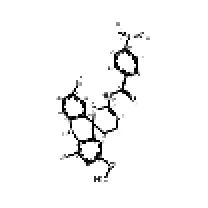 COc1cc(F)c2c(c1)C1(CCN=C(NC(=O)c3ccc([N+](=O)[O-])cc3)O1)c1cc(Br)ccc1O2